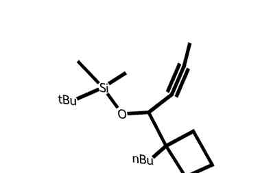 CC#CC(O[Si](C)(C)C(C)(C)C)C1(CCCC)CCC1